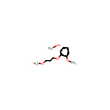 CO.COCCCOc1ccccc1OC